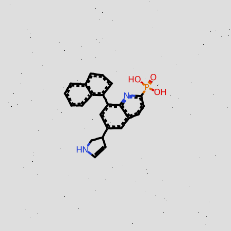 O=P(O)(O)c1ccc2cc(C3C=CNC3)cc(-c3cccc4ccccc34)c2n1